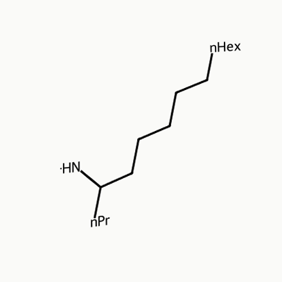 CCCCCCCCCCCC([NH])CCC